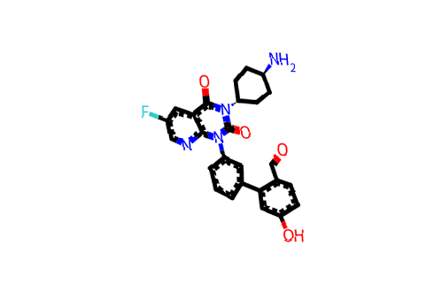 N[C@H]1CC[C@H](n2c(=O)c3cc(F)cnc3n(-c3cccc(-c4cc(O)ccc4C=O)c3)c2=O)CC1